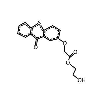 O=C(COc1ccc2sc3ccccc3c(=O)c2c1)OCCO